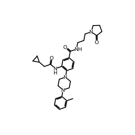 Cc1ccccc1N1CCN(c2ccc(C(=O)NCCCN3CCCC3=O)cc2NC(=O)CC2CC2)CC1